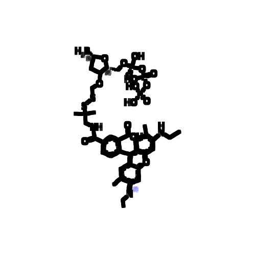 B[C@H]1CC(OCSSC(C)(C)CNC(=O)c2ccc(-c3c4cc(C)/c(=N\CC)cc-4oc4cc(NCC)c(C)cc34)c(C(=O)O)c2)[C@@H](COP(=O)(O)OP(=O)(O)OP(=O)(O)O)O1